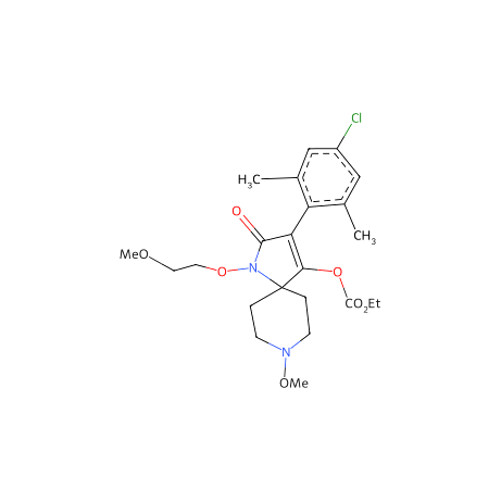 CCOC(=O)OC1=C(c2c(C)cc(Cl)cc2C)C(=O)N(OCCOC)C12CCN(OC)CC2